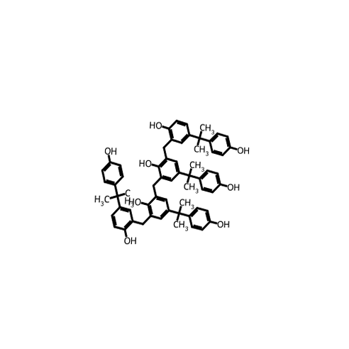 CC(C)(c1ccc(O)cc1)c1ccc(O)c(Cc2cc(C(C)(C)c3ccc(O)cc3)cc(Cc3cc(C(C)(C)c4ccc(O)cc4)cc(Cc4cc(C(C)(C)c5ccc(O)cc5)ccc4O)c3O)c2O)c1